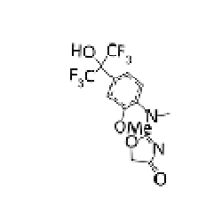 COc1cc(C(O)(C(F)(F)F)C(F)(F)F)ccc1N(C)C1=NC(=O)CO1